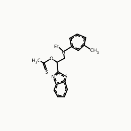 CCN(CC(OC(C)=S)c1nc2ccccc2s1)c1cccc(C)c1